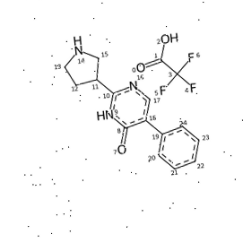 O=C(O)C(F)(F)F.O=c1[nH]c(C2CCNC2)ncc1-c1ccccc1